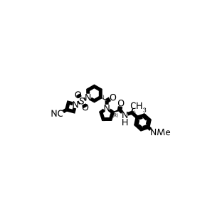 CNc1ccc([C@@H](C)NC(=O)[C@H]2CCCN2C(=O)[C@H]2CCCN(S(=O)(=O)N3CC(C#N)C3)C2)cc1